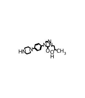 CC(O)Cn1ncn(-c2ccc(N3CCNCC3)cc2)c1=O